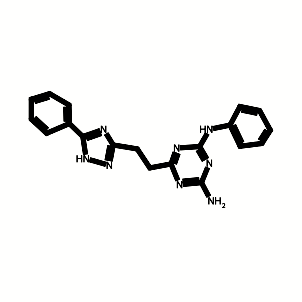 Nc1nc(CCc2n[nH]c(-c3ccccc3)n2)nc(Nc2ccccc2)n1